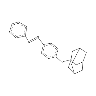 c1ccc(/N=N/c2ccc(SC34CC5CC(CC(C5)C3)C4)cc2)cc1